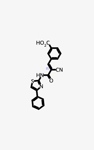 N#C/C(=C\c1cccc(C(=O)O)c1)C(=O)Nc1nc(-c2ccccc2)cs1